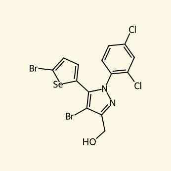 OCc1nn(-c2ccc(Cl)cc2Cl)c(-c2ccc(Br)[se]2)c1Br